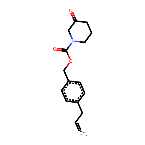 C=CCc1ccc(COC(=O)N2CCCC(=O)C2)cc1